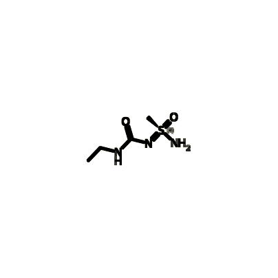 CCNC(=O)N=[S@@](C)(N)=O